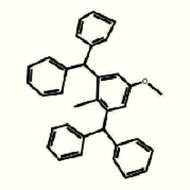 COc1cc(C(c2ccccc2)c2ccccc2)c(C)c(C(c2ccccc2)c2ccccc2)c1